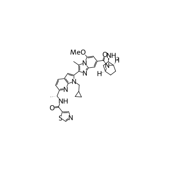 COc1cc(C(=O)N2[C@H]3CC[C@@H]2[C@H](N)C3)cc2nc(-c3cc4ccc([C@@H](C)NC(=O)c5cncs5)nc4n3CC3CC3)c(C)n12